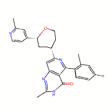 Cc1cc([C@H]2C[C@@H](c3cc4nc(C)[nH]c(=O)c4c(-c4ccc(F)cc4C)n3)CCO2)ccn1